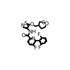 O=C(Nc1cnsc1OCC1CCOCC1)c1ccc(F)c(-c2c(F)cccc2F)n1